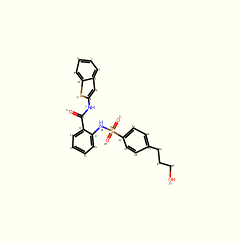 O=C(Nc1cc2ccccc2s1)c1ccccc1NS(=O)(=O)c1ccc(CCCO)cc1